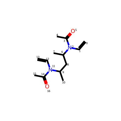 C=CN(C(C)=O)C(C)CC(C)N(C=C)C(C)=O